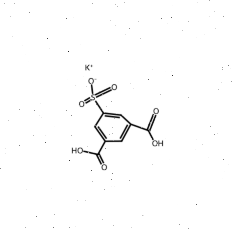 O=C(O)c1cc(C(=O)O)cc(S(=O)(=O)[O-])c1.[K+]